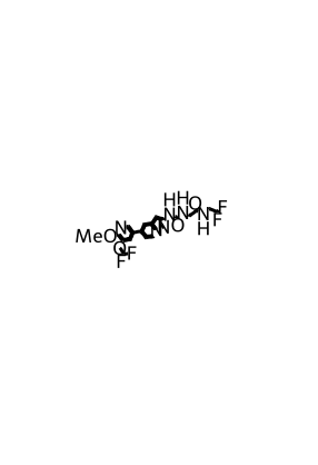 COc1ncc(-c2ccn3nc(NC(=O)NCC(=O)NCC(F)F)cc3c2)cc1OC(F)F